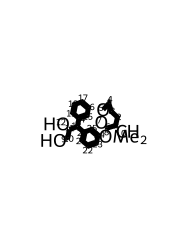 C=C(CC1CO1)C(=O)OC.OCC(O)C(c1ccccc1)c1ccccc1